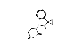 O=C1CCC(NC(O)C2(c3ccccc3)CC2)C(=O)N1